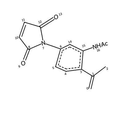 C=C(C)c1ccc(N2C(=O)C=CC2=O)cc1NC(C)=O